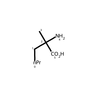 CCCCC(C)(N)C(=O)O